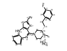 CC(C)c1nc2c(s1)Nc1ccccc1N=C2N1CCN(C)[C@@H](CCc2cccc(F)c2)C1.Cl.Cl